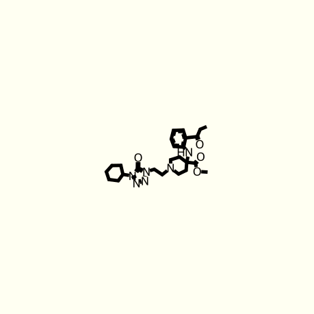 CCC(=O)c1ccccc1NC1(C(=O)OC)CCN(CCn2nnn(C3CCCCC3)c2=O)CC1